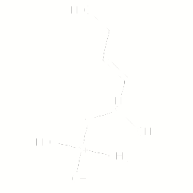 CCC=C[SiH](C)O[Si](C)(C)C